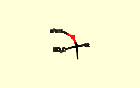 CCCCCOC(C)(CC)C(=O)O